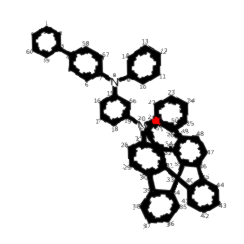 c1ccc(-c2ccc(N(c3ccccc3)c3cccc(N(c4ccccc4)c4ccc5c(c4)C4(c6ccccc6-5)c5ccccc5-c5ccc6ccccc6c54)c3)cc2)cc1